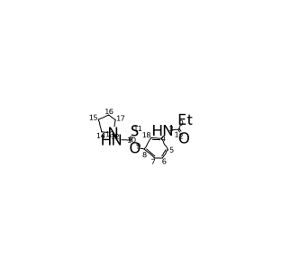 CCC(=O)Nc1cccc(OC(=S)NN2CCCC2)c1